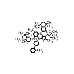 C=C/C(=C\c1c(C)sc2c1N(c1ccc3c(c1)C(C)(C)CCC3(C)C)c1cc(C)cc(NC3C=C4C(=CC3)C(C)(C)CC4(C)C)c1B2C1=CCC(c2ccccc2C)C=C1)C(C)(C)C